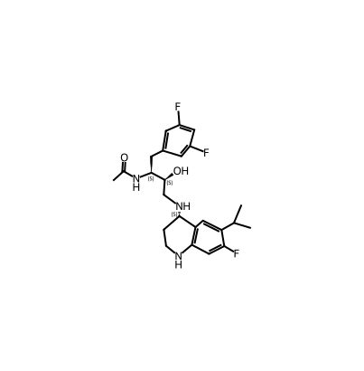 CC(=O)N[C@@H](Cc1cc(F)cc(F)c1)[C@@H](O)CN[C@H]1CCNc2cc(F)c(C(C)C)cc21